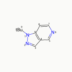 CC(C)(C)n1ncc2cnccc21